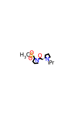 CC(C)N1CCC[C@H]1CC(=O)N1CCCC1CS(C)(=O)=O